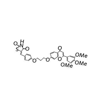 COc1cc(-c2cc(=O)c3ccc(OCCCOc4ccc(C=C5SC(=O)NC5=O)cc4)cc3o2)cc(OC)c1OC